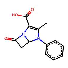 CC1=C(C(=O)O)N2C(=O)CC2N1c1ccccc1